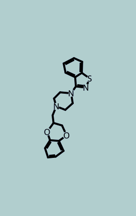 c1ccc2c(c1)OCC(CN1CCN(c3nsc4ccccc34)CC1)O2